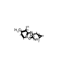 Cc1ccnc(NN(CC2CC2)C(N)=O)c1I